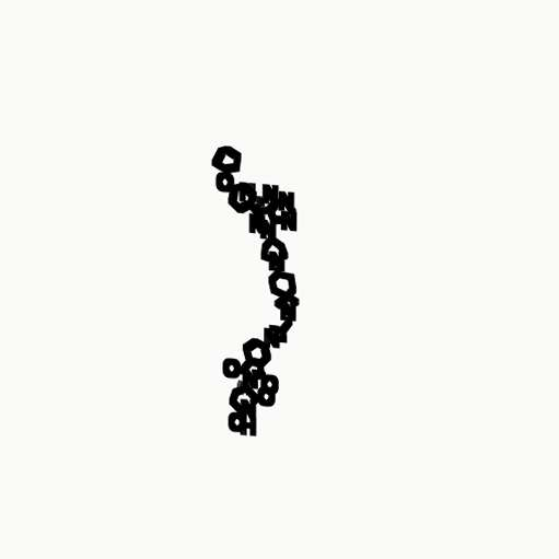 Nc1ncnc2c1c(-c1ccc(Oc3ccccc3)cc1)nn2C1CCN(C2CCC3(CC2)CN(CC2CN(c4ccc5c(c4)C(=O)N([C@H]4CCC(=O)NC4=O)C5=O)C2)C3)CC1